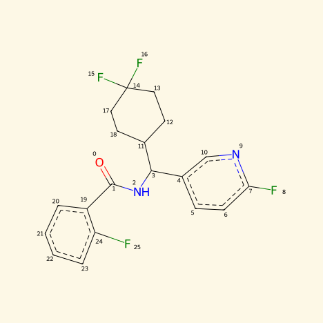 O=C(NC(c1ccc(F)nc1)C1CCC(F)(F)CC1)c1ccccc1F